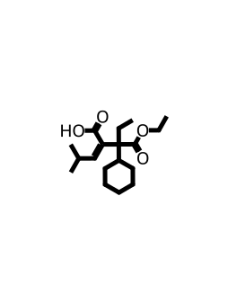 CCOC(=O)C(CC)(C(=CC(C)C)C(=O)O)C1CCCCC1